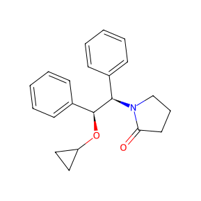 O=C1CCCN1[C@H](c1ccccc1)[C@@H](OC1CC1)c1ccccc1